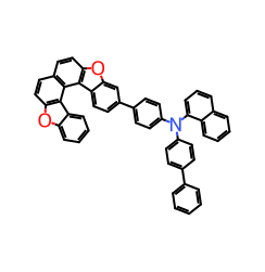 c1ccc(-c2ccc(N(c3ccc(-c4ccc5c(c4)oc4ccc6ccc7oc8ccccc8c7c6c45)cc3)c3cccc4ccccc34)cc2)cc1